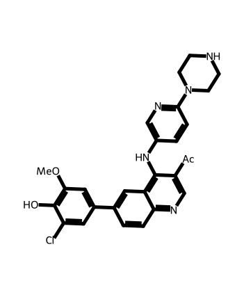 COc1cc(-c2ccc3ncc(C(C)=O)c(Nc4ccc(N5CCNCC5)nc4)c3c2)cc(Cl)c1O